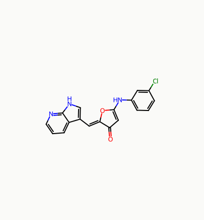 O=C1C=C(Nc2cccc(Cl)c2)OC1=Cc1c[nH]c2ncccc12